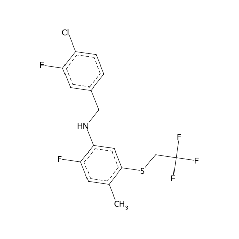 Cc1cc(F)c(NCc2ccc(Cl)c(F)c2)cc1SCC(F)(F)F